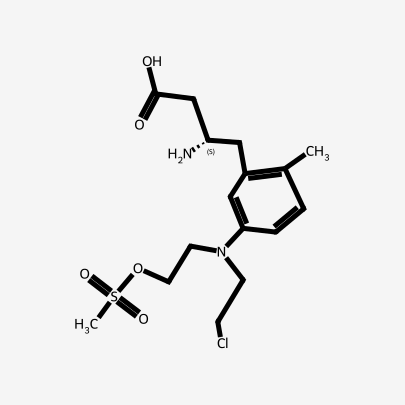 Cc1ccc(N(CCCl)CCOS(C)(=O)=O)cc1C[C@H](N)CC(=O)O